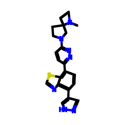 CN1CCC12CCN(c1ccc(-c3ccc(-c4cn[nH]c4)c4ncsc34)nn1)C2